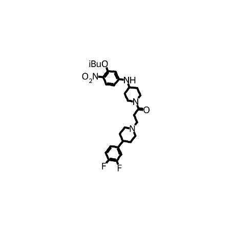 CC(C)COc1cc(NC2CCN(C(=O)CCN3CCC(c4ccc(F)c(F)c4)CC3)CC2)ccc1[N+](=O)[O-]